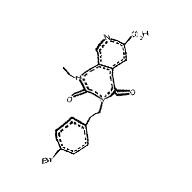 Cn1c(=O)n(Cc2ccc(Br)cc2)c(=O)c2cc(C(=O)O)ncc21